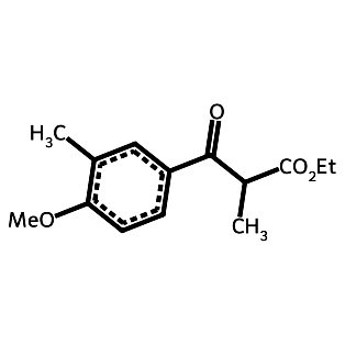 CCOC(=O)C(C)C(=O)c1ccc(OC)c(C)c1